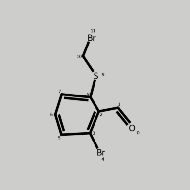 O=Cc1c(Br)cccc1SCBr